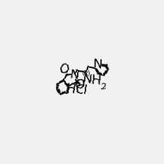 Cl.N[C@H](Cc1ccccn1)CN1C(=O)c2ccccc2C1=O